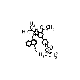 COC(=O)c1cc(C2CCN(C(=O)OC(C)(C)C)CC2)cc2c1nc(C(C)C)n2Cc1ccc(C#N)c2ccccc12